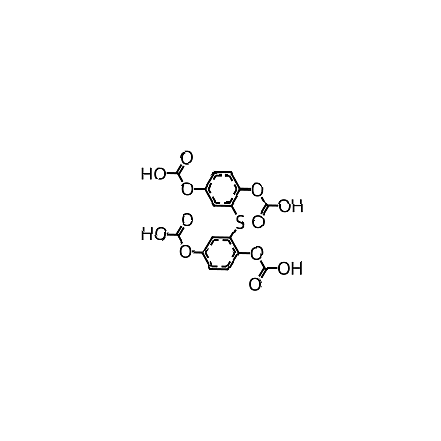 O=C(O)Oc1ccc(OC(=O)O)c(Sc2cc(OC(=O)O)ccc2OC(=O)O)c1